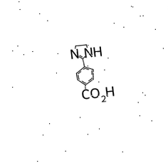 O=C(O)c1ccc(C2=NCCN2)cc1